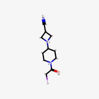 N#CC1CN(C2CCN(C(=O)CI)CC2)C1